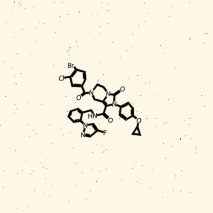 O=C(NCc1ccccc1-n1cc(F)cn1)c1c2n(c(=O)n1-c1ccc(OC3CC3)cc1)CCN(C(=O)c1ccc(Br)c(Cl)c1)C2